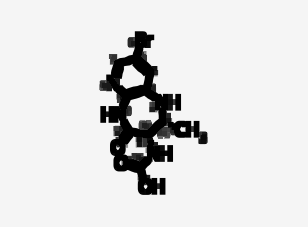 C[C@H]1Nc2cc(Br)cnc2NC(=O)[C@H]1NC(=O)O